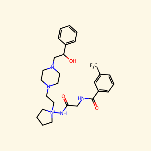 O=C(CNC(=O)c1cccc(C(F)(F)F)c1)N[N+]1(CCN2CCN(CC(O)c3ccccc3)CC2)CCCC1